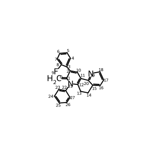 C=C1C(c2ccccc2F)=CC2=C(CCc3cccnc32)N1c1ccccc1